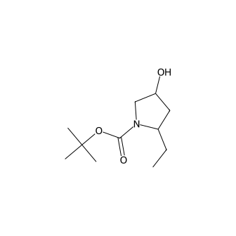 CCC1CC(O)CN1C(=O)OC(C)(C)C